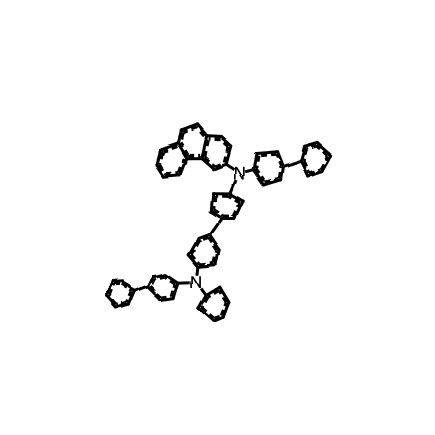 c1ccc(-c2ccc(N(c3ccccc3)c3ccc(-c4ccc(N(c5ccc(-c6ccccc6)cc5)c5ccc6ccc7ccccc7c6c5)cc4)cc3)cc2)cc1